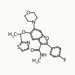 CNC(=O)c1c(-c2ccc(F)cc2)oc2cc(N3CCOCC3)c(OC(C)c3nccs3)cc12